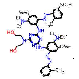 CCN(CC)c1cc(Nc2nc(Nc3cc(N(CC)CC)c(OC)cc3/N=N/c3cc(S(=O)(=O)O)ccc3C)nc(N(CCO)CCO)n2)c(/N=N/c2ccccc2C)cc1OC